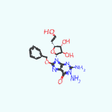 Nc1nc2c(nc(OCc3ccccc3)n2[C@@H]2O[C@H](CCO)[C@H](O)[C@H]2O)c(=O)n1N